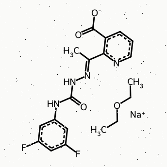 C/C(=N\NC(=O)Nc1cc(F)cc(F)c1)c1ncccc1C(=O)[O-].CCOCC.[Na+]